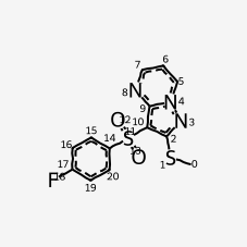 CSc1nn2cccnc2c1S(=O)(=O)c1ccc(F)cc1